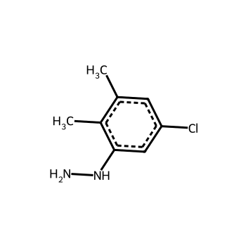 Cc1cc(Cl)cc(NN)c1C